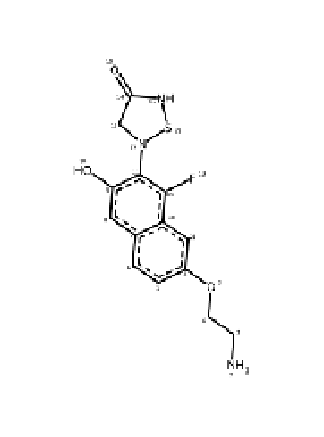 NCCOc1ccc2cc(O)c(N3CC(=O)NS3)c(F)c2c1